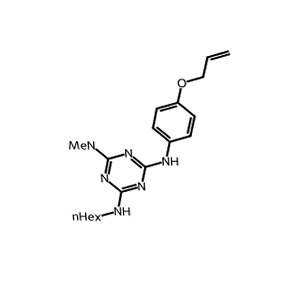 C=CCOc1ccc(Nc2nc(NC)nc(NCCCCCC)n2)cc1